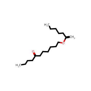 C=C(CCCCC)OCCCCCCC(=O)CCCC